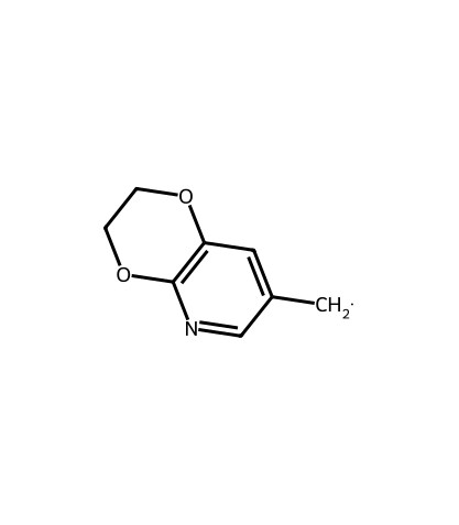 [CH2]c1cnc2c(c1)OCCO2